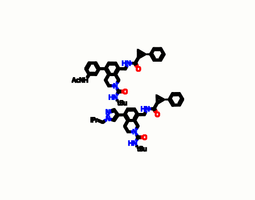 CC(=O)Nc1cccc(-c2ccc(CNC(=O)C3C[C@@H]3c3ccccc3)c3c2CCN(C(=O)NC(C)(C)C)C3)c1.CC(C)Cn1cc(-c2ccc(CNC(=O)C3C[C@@H]3c3ccccc3)c3c2CCN(C(=O)NC(C)(C)C)C3)cn1